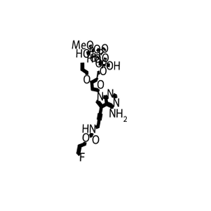 C=CCO[C@@H]1C[C@H](n2cc(C#CCNC(=O)OC/C=C\F)c3c(N)ncnc32)O[C@@H]1COP(=O)(O)OP(=O)(O)OP(=O)(O)OC